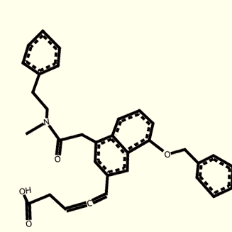 CN(CCc1ccccc1)C(=O)Cc1cc(C=C=CCC(=O)O)cc2c(OCc3ccccc3)cccc12